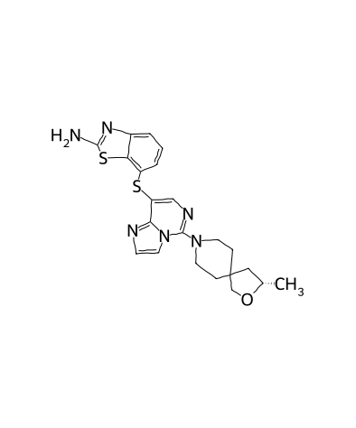 C[C@H]1CC2(CCN(c3ncc(Sc4cccc5nc(N)sc45)c4nccn34)CC2)CO1